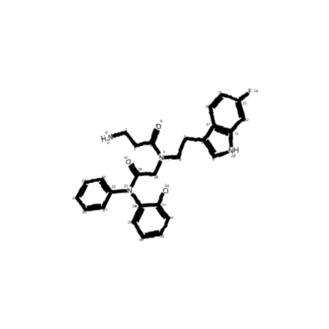 NCCC(=O)N(CCc1c[nH]c2cc(F)ccc12)CC(=O)N(c1ccccc1)c1ccccc1Cl